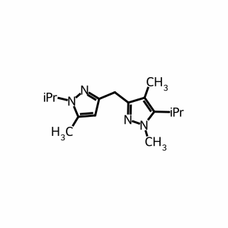 Cc1c(Cc2cc(C)n(C(C)C)n2)nn(C)c1C(C)C